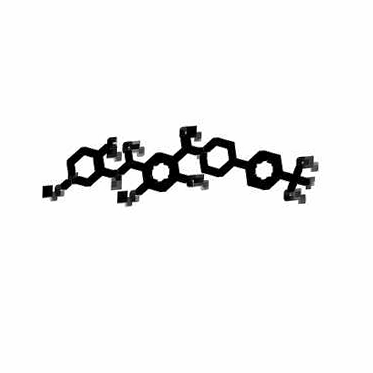 C=C(c1cc(C(C)NC2=C(C)CCN(C)C2)c(C)cc1C)N1CCC(c2ccc(C(C)(C)F)cc2)CC1